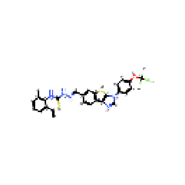 C=Cc1cccc(C)c1NC(=S)N/N=C/c1ccc2c(c1)sc1c2ncn1-c1ccc(OC(F)(F)F)cc1